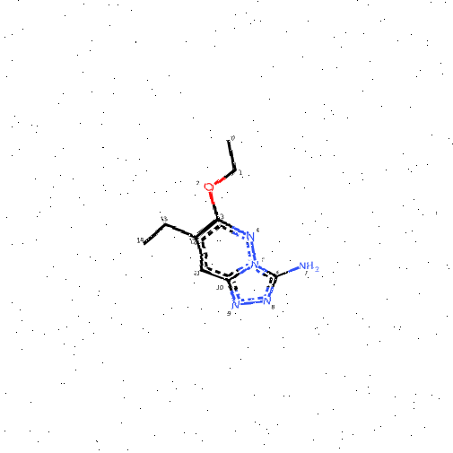 CCOc1nn2c(N)nnc2cc1CC